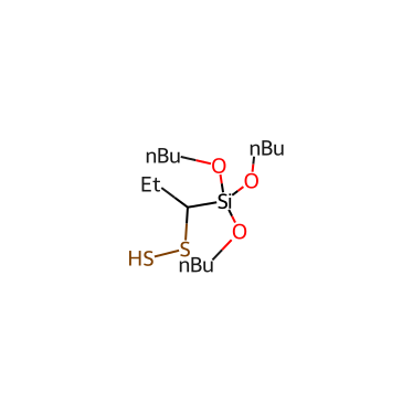 CCCCO[Si](OCCCC)(OCCCC)C(CC)SS